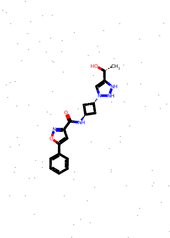 C[C@@H](O)C1=CN([C@H]2C[C@H](NC(=O)c3cc(-c4ccccc4)on3)C2)NN1